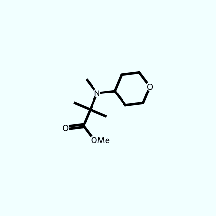 COC(=O)C(C)(C)N(C)C1CCOCC1